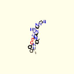 Cc1ccc(NC(=O)c2cccc(C(F)(F)F)c2)cc1N1Cc2cnc(Nc3ccc(N4CCC(N(C)C)C4)nc3)nc2N(C)C1=O